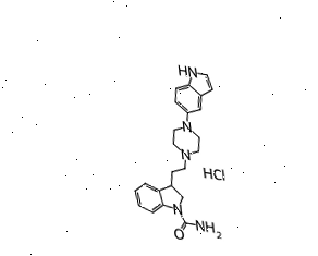 Cl.NC(=O)N1CC(CCN2CCN(c3ccc4[nH]ccc4c3)CC2)c2ccccc21